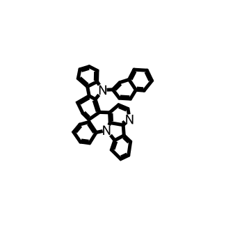 c1ccc(-n2c3ccccc3c3nccc(-c4cccc5c6ccccc6n(-c6ccc7ccccc7c6)c45)c32)cc1